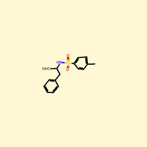 Cc1ccc(S(=O)(=O)NC(C=O)Cc2ccccc2)cc1